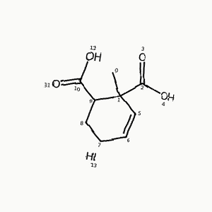 CC1(C(=O)O)C=CCCC1C(=O)O.I